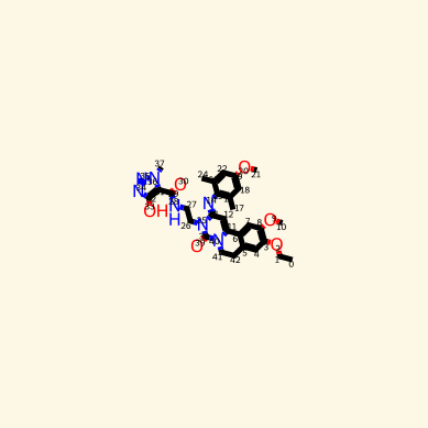 CCOc1cc2c(cc1OC)-c1c/c(=N\c3c(C)cc(OC)cc3C)n(CCNC(=O)c3c(O)nnn3C)c(=O)n1CC2